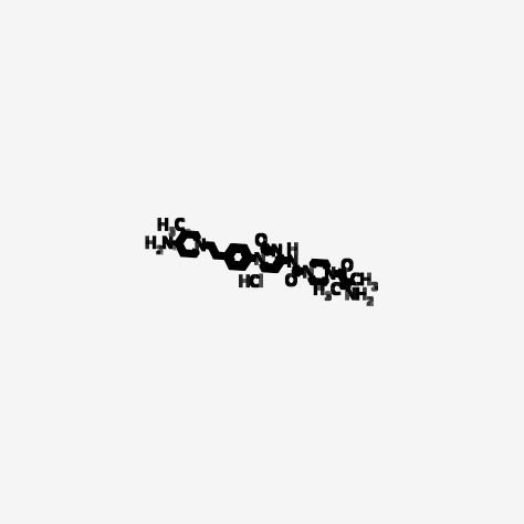 C[C@@H]1CN(CCc2ccc(-n3ccc(NC(=O)N4CCN(C(=O)C(C)(C)N)CC4)nc3=O)cc2)CC[C@H]1N.Cl